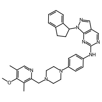 COc1c(C)cnc(CN2CCN(c3ccc(Nc4ncc5cnn(C6CCc7ccccc76)c5n4)cc3)CC2)c1C